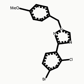 COc1ccc(Cn2cnc(-c3ccc(Br)cc3Cl)n2)cc1